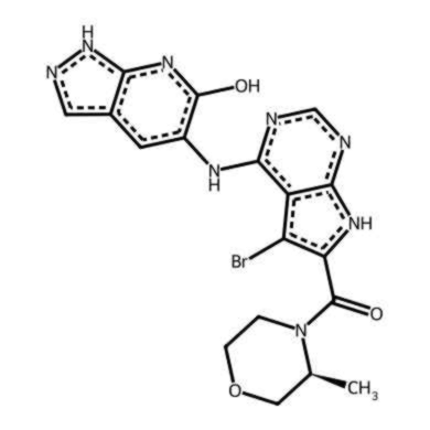 C[C@H]1COCCN1C(=O)c1[nH]c2ncnc(Nc3cc4cn[nH]c4nc3O)c2c1Br